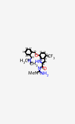 CNC(N)=NC(=O)c1cc2c(C(F)(F)F)ccc(OCc3ccccc3CN(C)C)c2[nH]1